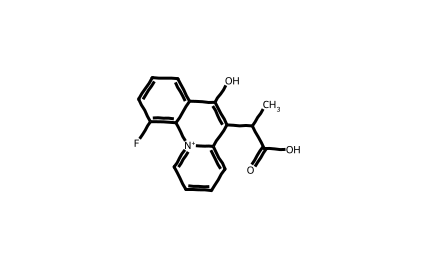 CC(C(=O)O)c1c(O)c2cccc(F)c2[n+]2ccccc12